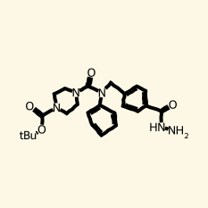 CC(C)(C)OC(=O)N1CCN(C(=O)N(Cc2ccc(C(=O)NN)cc2)c2ccccc2)CC1